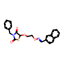 O=C1SC(OCCON=Cc2ccc3ccccc3c2)C(=O)N1Cc1ccccc1